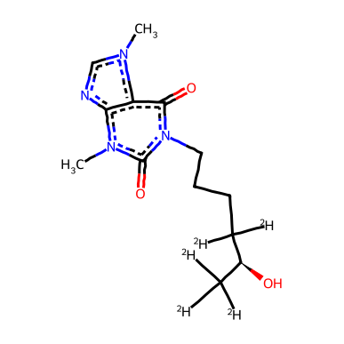 [2H]C([2H])([2H])[C@H](O)C([2H])([2H])CCCn1c(=O)c2c(ncn2C)n(C)c1=O